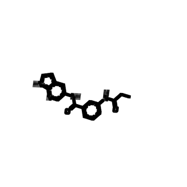 CCC(=O)Nc1cccc(C(=O)Nc2cnc3[nH]ccc3c2)c1